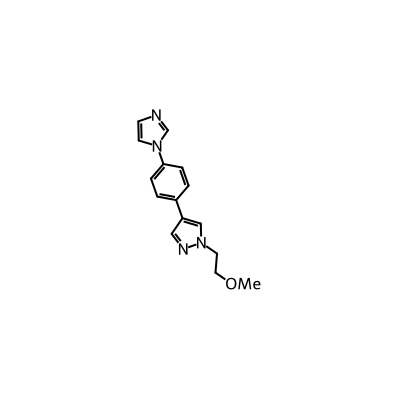 COCCn1cc(-c2ccc(-n3ccnc3)cc2)cn1